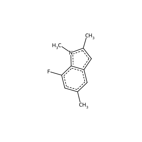 Cc1cc(F)c2c(c1)cc(C)n2C